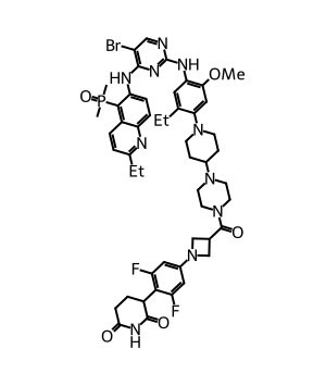 CCc1ccc2c(P(C)(C)=O)c(Nc3nc(Nc4cc(CC)c(N5CCC(N6CCN(C(=O)C7CN(c8cc(F)c(C9CCC(=O)NC9=O)c(F)c8)C7)CC6)CC5)cc4OC)ncc3Br)ccc2n1